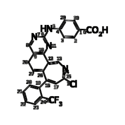 O=C(O)c1ccc(Nc2ncc3c(n2)C2=CN=C(Cl)C=C(c4ccccc4C(F)(F)F)C2=CC3)cc1